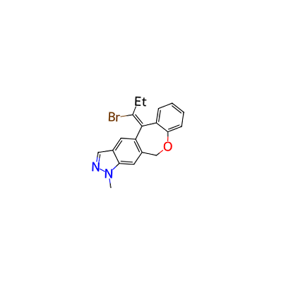 CCC(Br)=C1c2cc3cnn(C)c3cc2COc2ccccc21